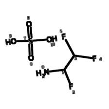 NC(F)C(F)F.O=S(=O)(O)O